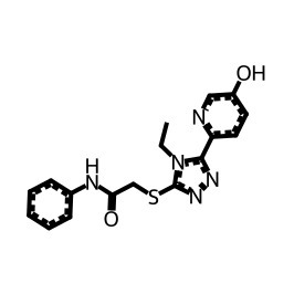 CCn1c(SCC(=O)Nc2ccccc2)nnc1-c1ccc(O)cn1